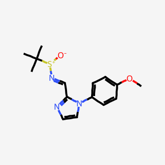 COc1ccc(-n2ccnc2C=N[S+]([O-])C(C)(C)C)cc1